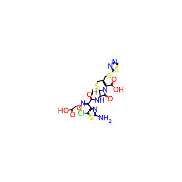 Nc1nc(/C(=N\OCC(=O)O)C(=O)NC2C(=O)N3C(C(=O)O)=C(CSc4nncs4)CS[C@H]23)c(Cl)s1